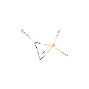 C[C@H]1C=P1(C)C